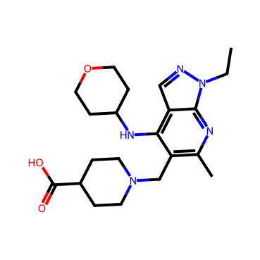 CCn1ncc2c(NC3CCOCC3)c(CN3CCC(C(=O)O)CC3)c(C)nc21